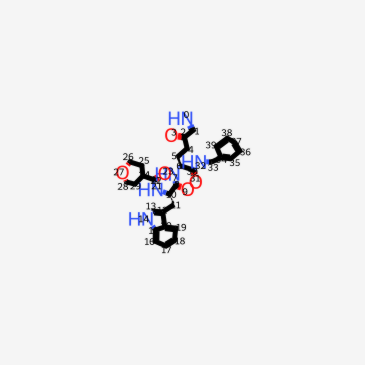 N=CC(=O)CC[C@H](NC(=O)[C@H](Cc1c[nH]c2ccccc12)NC(=O)C1CCOCC1)C(=O)NCc1ccccc1